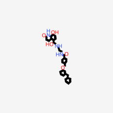 O=C(NCCCNC[C@@H](O)c1ccc(O)c2[nH]c(=O)ccc12)c1ccc(COc2cccc(Cc3ccccc3)c2)cc1